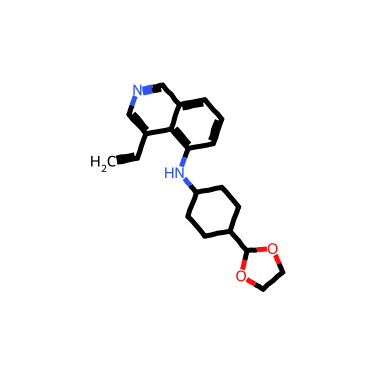 C=Cc1cncc2cccc(NC3CCC(C4OCCO4)CC3)c12